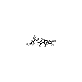 CO/N=C(\C(=O)NC1C(=O)N2C(C(=O)[O-])=C(C[N+]3(C)C[C@@H](O)[C@@H](O)C3)CS[C@@H]12)c1nsc(N)n1